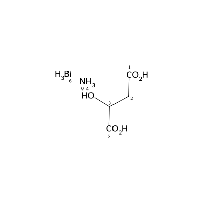 N.O=C(O)CC(O)C(=O)O.[BiH3]